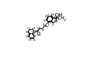 CC1(O)CCc2c(OCCCC(=O)N3CCCc4ccccc43)cccc21